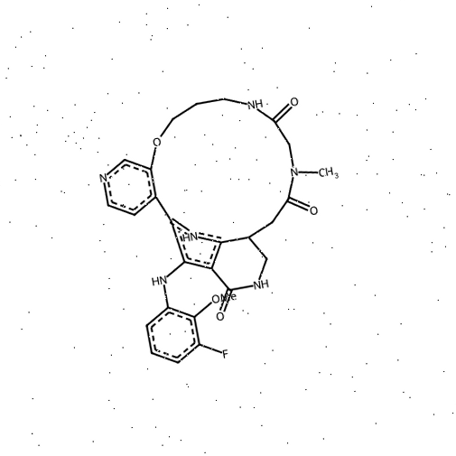 COc1c(F)cccc1Nc1c2[nH]c3c1C(=O)NCC3CC(=O)N(C)CC(=O)NCCCOc1cnccc1-2